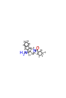 Cc1cccc(C(=O)N2CCC(C(C)(N)C3Cc4ccccc4C3)CC2)c1